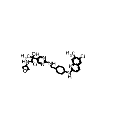 Cc1cc2nc(NC3CCC(CNc4ncc(C(C)(O)C(=O)NC5COC5)cn4)CC3)ccc2cc1Cl